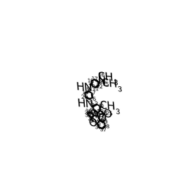 Cc1cc(Nc2ccc(Nc3ccc(N(C)C)cc3)cc2)cc2c1C(=O)OC21c2ccccc2Oc2ccccc21